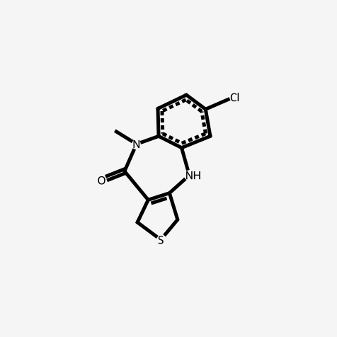 CN1C(=O)C2=C(CSC2)Nc2cc(Cl)ccc21